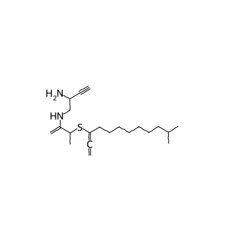 C#CC(N)CNC(=C)C(C)SC(=C=C)CCCCCCCC(C)C